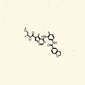 COC[C@H](C)NC(=O)c1cn2ncnc(Nc3cc(NC(=O)c4ccc5c(c4)CCO5)ccc3C)c2c1C